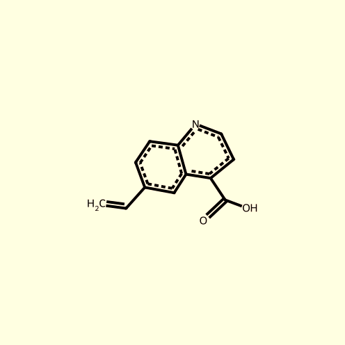 C=Cc1ccc2nccc(C(=O)O)c2c1